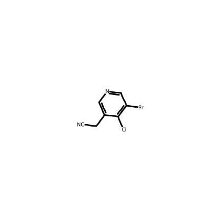 N#CCc1cncc(Br)c1Cl